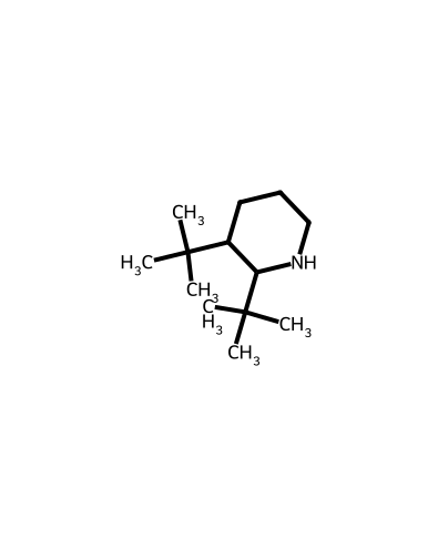 CC(C)(C)C1CCCNC1C(C)(C)C